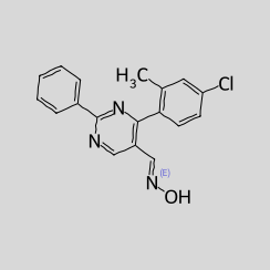 Cc1cc(Cl)ccc1-c1nc(-c2ccccc2)ncc1/C=N/O